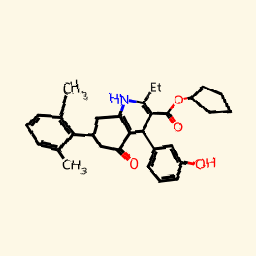 CCC1=C(C(=O)OC2CCCC2)C(c2cccc(O)c2)C2=C(CC(c3c(C)cccc3C)CC2=O)N1